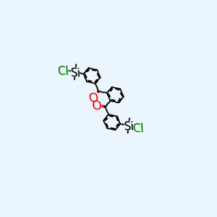 C[Si](C)(Cl)c1cccc(C(=O)c2ccccc2C(=O)c2cccc([Si](C)(C)Cl)c2)c1